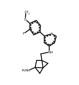 CC(=O)NC12CC3(CNc4ccnc(-c5ccc(OC(F)(F)F)c(F)c5)c4)CC31C2